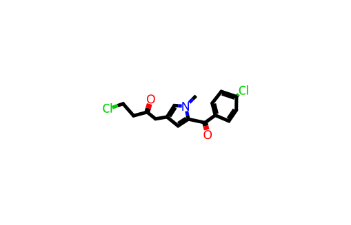 Cn1cc(CC(=O)CCCl)cc1C(=O)c1ccc(Cl)cc1